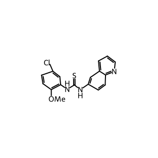 COc1ccc(Cl)cc1NC(=S)Nc1ccc2ncccc2c1